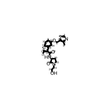 Cc1ncsc1COc1ccc2sc(C)c(C(=O)N[C@@H]3CCN(CCO)C3=O)c2c1